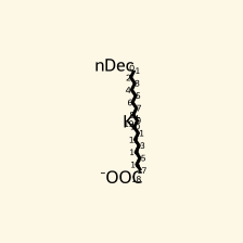 CCCCCCCCCCCCCCCCCCCCCCCCCCCC(=O)[O-].[K+]